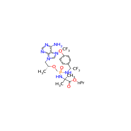 CCCOC(=O)C(C)(C)N[P@](=O)(CO[C@H](C)Cn1cnc2c(N)ncnc21)N[C@H](c1ccc(OC(F)(F)F)cc1)C(F)(F)F